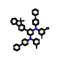 CCc1cc(C)cc(N(c2ccc(-c3ccccc3)cc2)c2cc(-c3ccc4c(c3)C(C)(C)c3ccccc3-4)cc(N(c3ccc(-c4ccccc4)cc3)c3cccc(C)c3)c2)c1